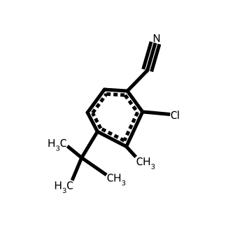 Cc1c(C(C)(C)C)ccc(C#N)c1Cl